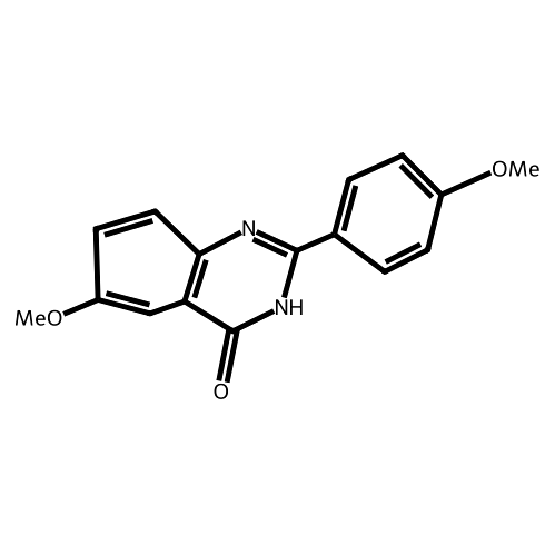 COc1ccc(-c2nc3ccc(OC)cc3c(=O)[nH]2)cc1